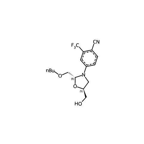 CCCCOC[C@H]1O[C@H](CO)CN1c1ccc(C#N)c(C(F)(F)F)c1